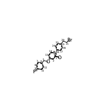 O=c1cc(OCc2ccc(F)cc2)ccn1-c1ccc(CCBr)cc1